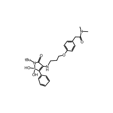 CN(C)C(=O)Cc1ccc(OCCCNC2=C(c3ccccc3)S(O)(O)N(C(C)(C)C)C2=O)cc1